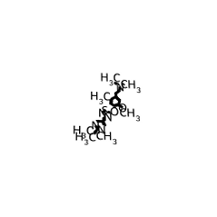 CCN(C)CCc1cc(OC)c(Oc2nc(-c3cnc(C(C)(C)C)nc3)ns2)cc1C